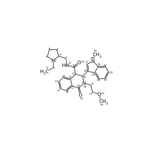 CCN1CCCC1CNC(=O)C1c2ccccc2C(=O)N(CCOC)C1c1cn(C)c2ccccc12